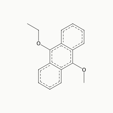 CCOc1c2ccccc2c(OC)c2ccccc12